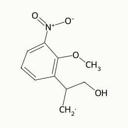 [CH2]C(CO)c1cccc([N+](=O)[O-])c1OC